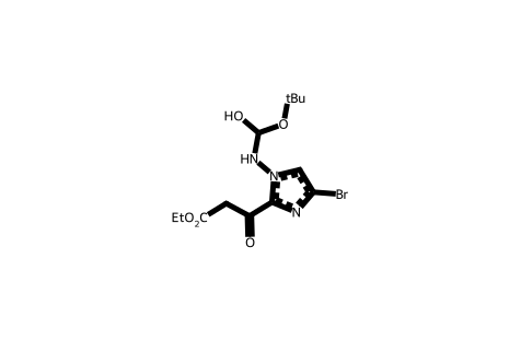 CCOC(=O)CC(=O)c1nc(Br)cn1NC(O)OC(C)(C)C